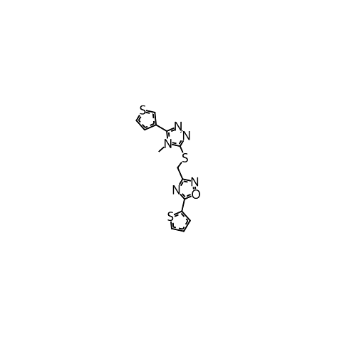 Cn1c(SCc2noc(-c3cccs3)n2)nnc1-c1ccsc1